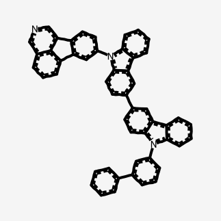 c1ccc(-c2cccc(-n3c4ccccc4c4cc(-c5ccc6c(c5)c5ccccc5n6-c5ccc6c(c5)-c5cccc7cncc-6c57)ccc43)c2)cc1